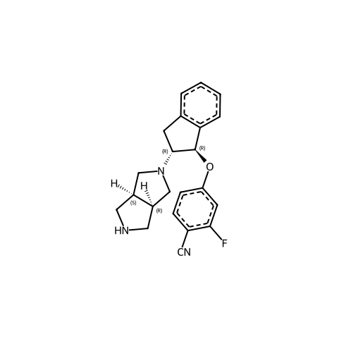 N#Cc1ccc(O[C@@H]2c3ccccc3C[C@H]2N2C[C@H]3CNC[C@H]3C2)cc1F